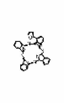 c1coc(-c2cccc3c4nc5nc(nc6[nH]c(nc7nc(nc([nH]4)c23)-c2ccccc2-7)c2ccccc62)-c2ccccc2-5)c1